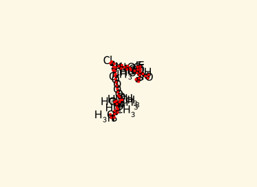 Cc1ncsc1-c1ccc([C@H](C)NC(=O)[C@@H]2C[C@@H](O)CN2C(=O)[C@@H](NC(=O)COCCOCCOCCOCC(=O)NCC2(C)CCC(c3ccc(Cl)cc3)=C(CN3CCN(c4ccc(C(=O)NS(=O)(=O)c5ccc(N[C@H](CCN6CCOCC6)CSc6ccccc6)c(S(=O)(=O)C(F)(F)F)c5)cc4)CC3)C2)C(C)(C)C)cc1